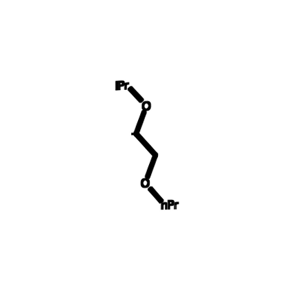 CCCOC[CH]OC(C)C